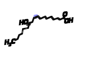 CCCCCC[C@H](O)C/C=C\CCCCCCCC(=O)O